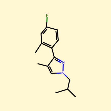 Cc1cc(F)ccc1-c1nn(CC(C)C)cc1C